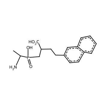 CC(N)P(=O)(O)CC(CCc1ccc2ccccc2c1)C(=O)O